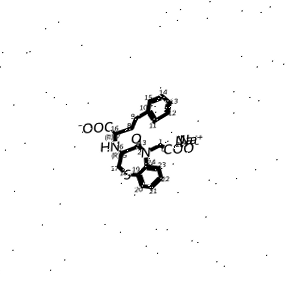 O=C([O-])CN1C(=O)[C@@H](N[C@H](CCc2ccccc2)C(=O)[O-])CSc2ccccc21.[Na+].[Na+]